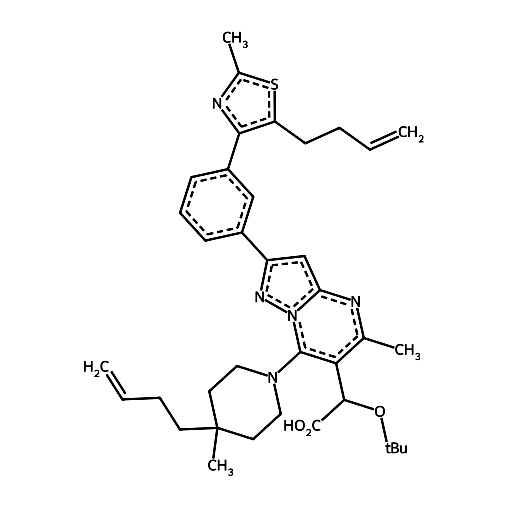 C=CCCc1sc(C)nc1-c1cccc(-c2cc3nc(C)c(C(OC(C)(C)C)C(=O)O)c(N4CCC(C)(CCC=C)CC4)n3n2)c1